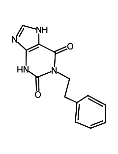 O=c1[nH]c2nc[nH]c2c(=O)n1CCc1ccccc1